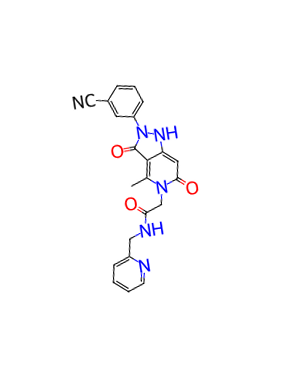 Cc1c2c(=O)n(-c3cccc(C#N)c3)[nH]c2cc(=O)n1CC(=O)NCc1ccccn1